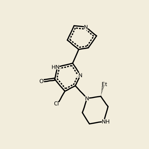 CC[C@@H]1CNCCN1c1nc(-c2ccncc2)[nH]c(=O)c1Cl